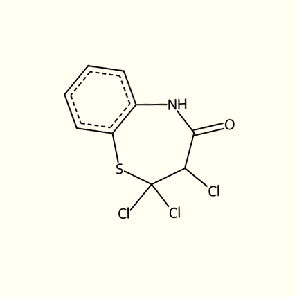 O=C1Nc2ccccc2SC(Cl)(Cl)C1Cl